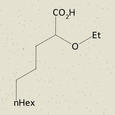 CCCCCCCCCC(OCC)C(=O)O